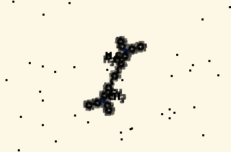 CC1(C)c2cc(/C=C/c3ccc(/C=C/c4ccc5c(c4)C(C)(C)c4cc(N(c6ccc(-c7ccccc7)cc6)c6ccc7ccccc7c6)ccc4-5)cc3)ccc2-c2ccc(N(c3ccc(-c4ccccc4)cc3)c3ccc4ccccc4c3)cc21